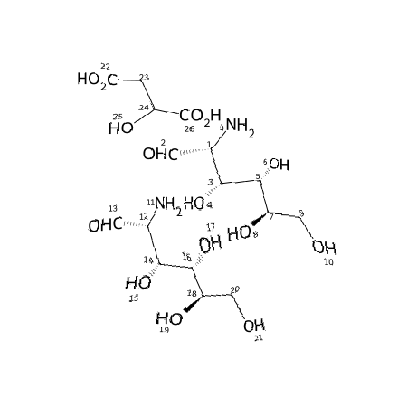 N[C@@H](C=O)[C@@H](O)[C@H](O)[C@H](O)CO.N[C@@H](C=O)[C@@H](O)[C@H](O)[C@H](O)CO.O=C(O)CC(O)C(=O)O